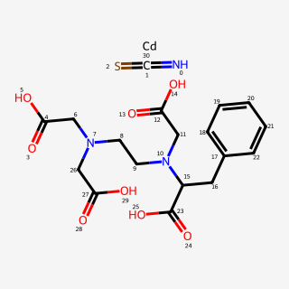 N=C=S.O=C(O)CN(CCN(CC(=O)O)C(Cc1ccccc1)C(=O)O)CC(=O)O.[Cd]